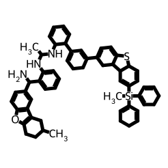 CC1CCc2oc3ccc(C(N)c4ccccc4NC(C)NC4C=CC=CC4C4=CCCC(C5=CC=C6SC7C=CC([Si](C)(C8=CCCC=C8)C8=CCCC=C8)=CC7C6C5)=C4)cc3c2C1